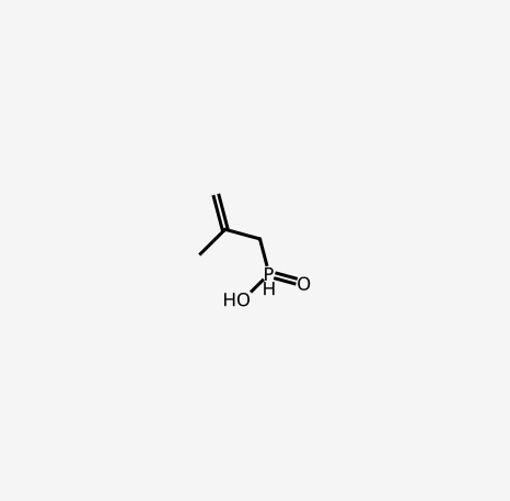 C=C(C)C[PH](=O)O